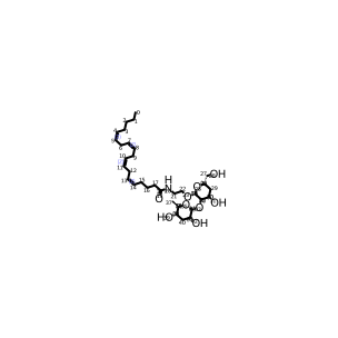 CCCC/C=C\C/C=C\C/C=C\C/C=C\CCCC(=O)NCCO[C@@H]1O[C@H](CO)C[C@H](O)[C@H]1O[C@@H]1O[C@H](C)[C@@H](O)C[C@H]1O